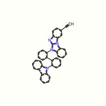 C#Cc1ccc2nc3n(-c4ccccc4-c4ccccc4-n4c5ccccc5c5ccccc54)c4ccccc4n3c2c1